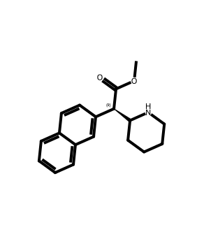 COC(=O)[C@H](c1ccc2ccccc2c1)C1CCCCN1